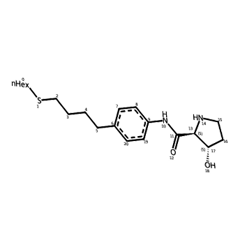 CCCCCCSCCCCc1ccc(NC(=O)[C@H]2NCC[C@@H]2O)cc1